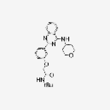 CC(C)(C)NC(=O)COc1cccc(-c2nc(NC3CCOCC3)c3ccccc3n2)c1